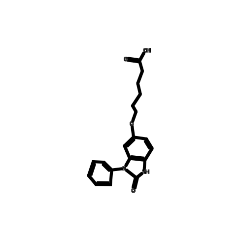 O=C(O)CCCCCOc1ccc2[nH]c(=O)n(-c3ccccc3)c2c1